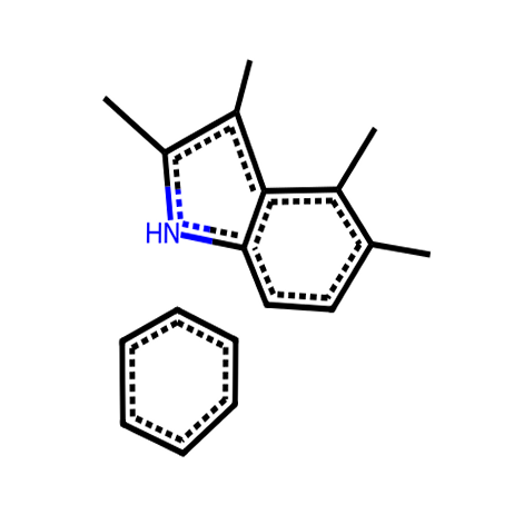 Cc1ccc2[nH]c(C)c(C)c2c1C.c1ccccc1